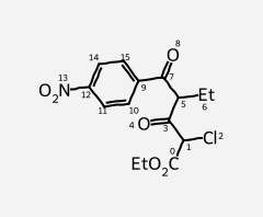 CCOC(=O)C(Cl)C(=O)C(CC)C(=O)c1ccc([N+](=O)[O-])cc1